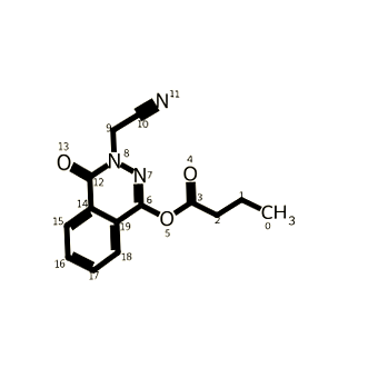 CCCC(=O)Oc1nn(CC#N)c(=O)c2ccccc12